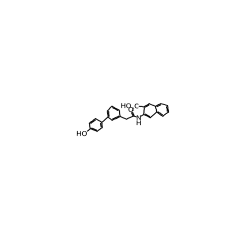 O=C(Cc1cccc(-c2ccc(O)cc2)c1)Nc1cc2ccccc2cc1C(=O)O